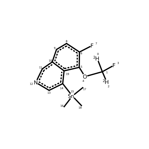 [2H]C([2H])(F)Oc1c(F)ccc2cnc[c]([Sn]([CH3])([CH3])[CH3])c12